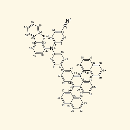 N#Cc1ccc(N(c2ccc(-c3ccc4c(-c5cccc6ccccc56)c5ccccc5c(-c5cccc6ccccc56)c4c3)cc2)c2cccc3c2sc2ccccc23)cc1